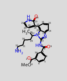 COC(=O)c1cccc(C(=O)Nc2nc3cccc(-c4ccc[nH]c4=O)c3n2C(C)CCCCN)c1